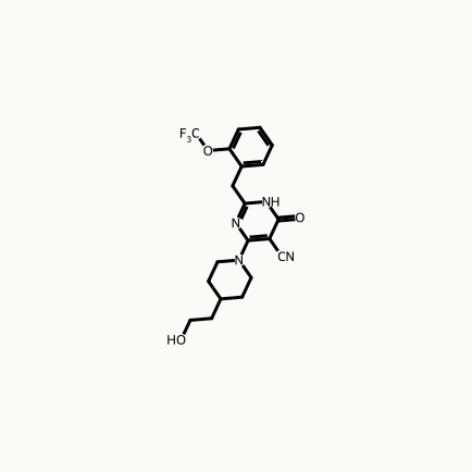 N#Cc1c(N2CCC(CCO)CC2)nc(Cc2ccccc2OC(F)(F)F)[nH]c1=O